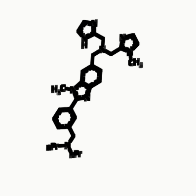 CCCN(CCC)Cc1cccc(-c2nc3ccc(CN(Cc4ncc[nH]4)Cc4nccn4C)cc3n2C)c1